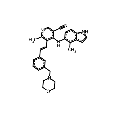 Cc1ncc(C#N)c(Nc2ccc3[nH]ccc3c2C)c1C=Cc1cccc(CN2CCOCC2)c1